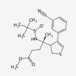 COC(=O)CC[C@](C)(N[S+]([O-])C(C)(C)C)C1CSC=C1c1cccc(C#N)c1